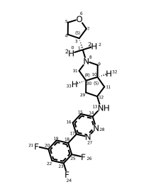 [2H]C([2H])([C@@H]1CCOC1)N1C[C@H]2CC(Nc3ccc(-c4cc(F)cc(F)c4F)nn3)C[C@H]2C1